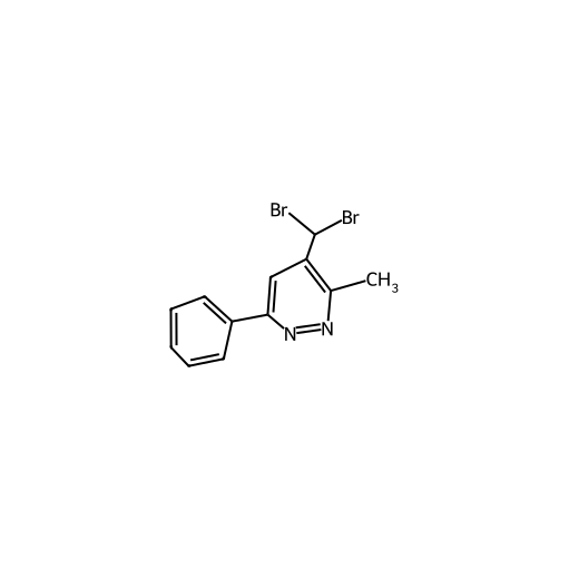 Cc1nnc(-c2ccccc2)cc1C(Br)Br